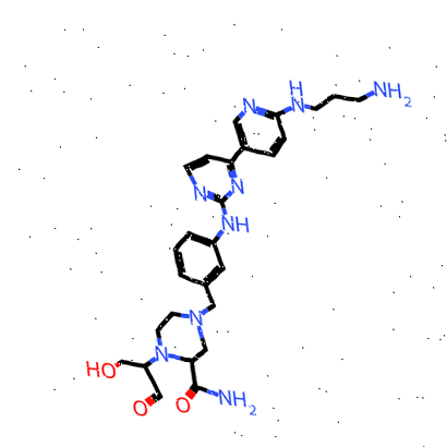 NCCCNc1ccc(-c2ccnc(Nc3cccc(CN4CCN(C(C=O)CO)C(C(N)=O)C4)c3)n2)cn1